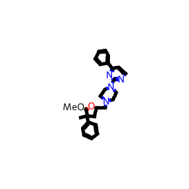 COC(=O)C(C)(CCCN1CCN(c2nccc(-c3ccccc3)n2)CC1)c1ccccc1